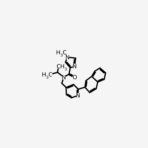 CC(C)N(Cc1ccnc(-c2ccc3ccccc3c2)c1)C(=O)c1cn(C)cn1